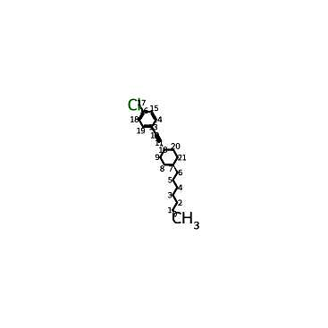 CCCCCCC[C@H]1CC[C@H](C#Cc2ccc(Cl)cc2)CC1